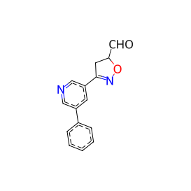 O=CC1CC(c2cncc(-c3ccccc3)c2)=NO1